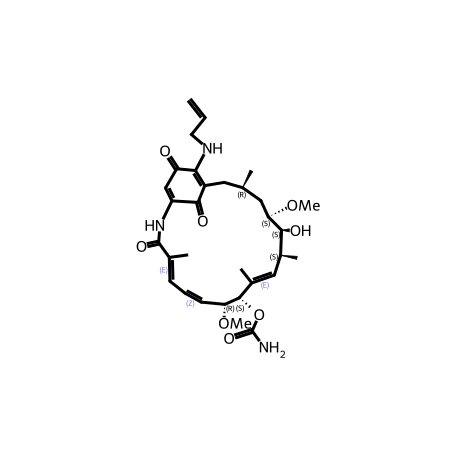 C=CCNC1=C2C[C@@H](C)C[C@H](OC)[C@@H](O)[C@@H](C)/C=C(\C)[C@H](OC(N)=O)[C@H](OC)/C=C\C=C(/C)C(=O)NC(=CC1=O)C2=O